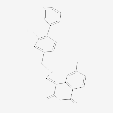 O=C1NC(=O)c2ccc(I)cc2/C1=C\NCc1ccc(-c2cccnc2)c(O)c1